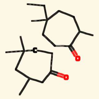 CC1CC(=O)CCC(C)(C)C1.CCC1(C)CCC(=O)C(C)CC1